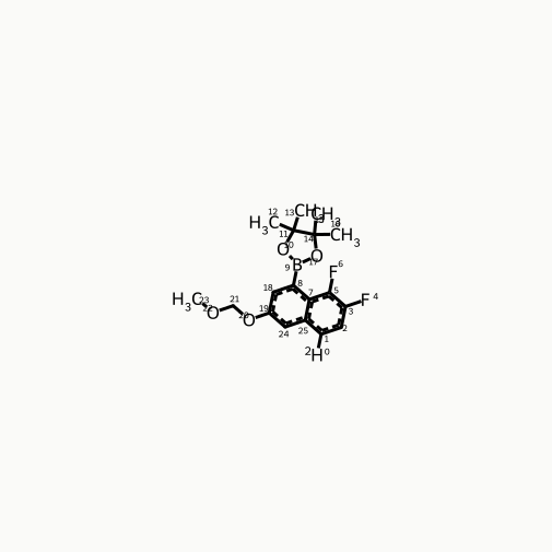 [2H]c1cc(F)c(F)c2c(B3OC(C)(C)C(C)(C)O3)cc(OCOC)cc12